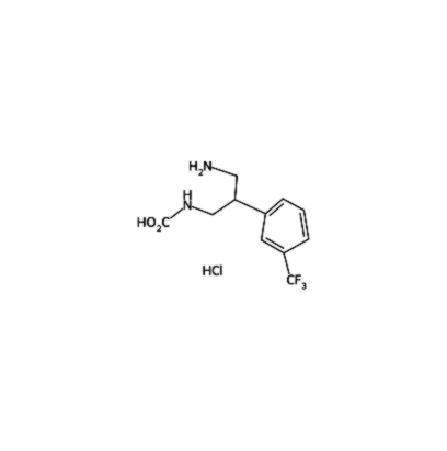 Cl.NCC(CNC(=O)O)c1cccc(C(F)(F)F)c1